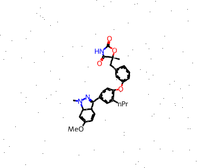 CCCc1cc(C2=NN(C)C3C=C(OC)C=CC23)ccc1Oc1cccc(C[C@@]2(C)OC(=O)NC2=O)c1